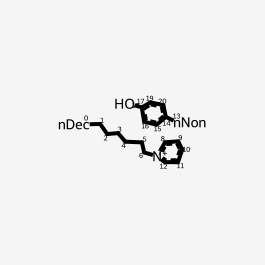 CCCCCCCCCCCCCCCC[n+]1ccccc1.CCCCCCCCCc1ccc(O)cc1